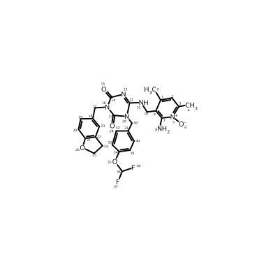 Cc1cc(C)[n+]([O-])c(N)c1CNc1nc(=O)n(Cc2ccc3c(c2)CCO3)c(=O)n1Cc1ccc(OC(F)F)cc1